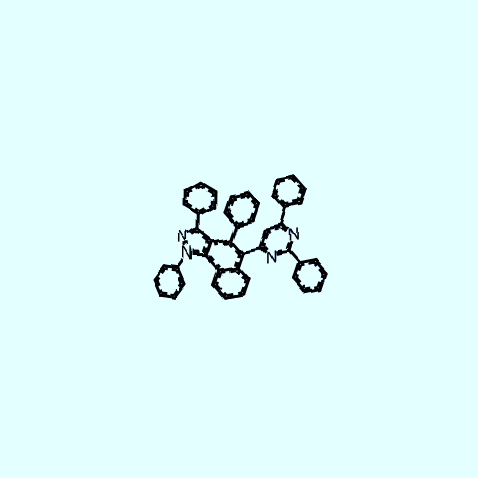 c1ccc(-c2cc(-c3c(-c4ccccc4)c4c(-c5ccccc5)nn(-c5ccccc5)c4c4ccccc34)nc(-c3ccccc3)n2)cc1